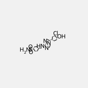 NS(=O)(=O)c1ccc(CNc2nccn3c(-c4ccc(O)c(Cl)c4)cnc23)cc1